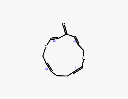 O=C1/C=C/CC/C=C\CC/C=C/CC/C=C/1